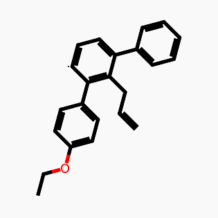 C=CCc1c(-c2ccc(OCC)cc2)[c]ccc1-c1ccccc1